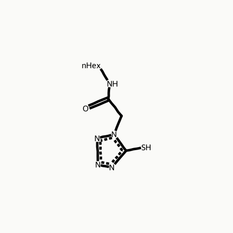 CCCCCCNC(=O)Cn1nnnc1S